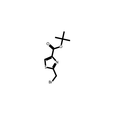 CC(C)(C)OC(=O)c1csc(CBr)n1